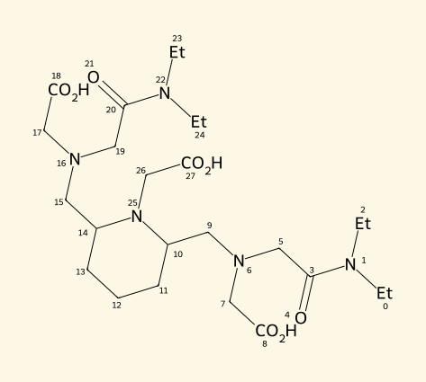 CCN(CC)C(=O)CN(CC(=O)O)CC1CCCC(CN(CC(=O)O)CC(=O)N(CC)CC)N1CC(=O)O